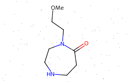 COCCN1CCNCCC1=O